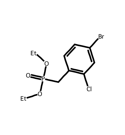 CCOP(=O)(Cc1ccc(Br)cc1Cl)OCC